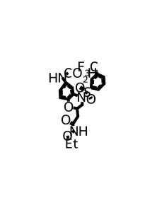 CCONC(=O)CC1CN(S(=O)(=O)c2cccc(C(F)(F)F)c2)c2cc(NC(=O)O)ccc2O1